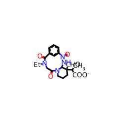 CCN1CC(=O)N2CCCC(C=O)(C(C)C(=O)[O-])C2N[N+](=O)c2cccc(c2)C1=O